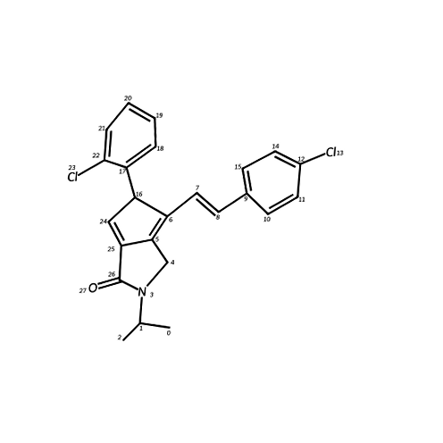 CC(C)N1CC2=C(/C=C/c3ccc(Cl)cc3)C(c3ccccc3Cl)C=C2C1=O